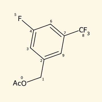 CC(=O)OCc1cc(F)cc(C(F)(F)F)c1